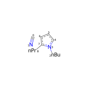 C#N.CCCCn1cccc1CCC